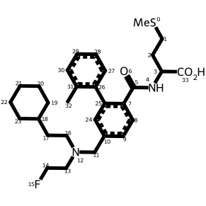 CSCCC(NC(=O)c1ccc(CN(CCF)CCC2CCCCC2)cc1-c1ccccc1C)C(=O)O